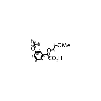 COCCOC(C(=O)O)c1cccc(OC(F)F)c1